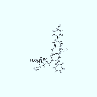 C[C@@H](CC(=N)Cc1cc(CN2C[C@@H](c3ccc(Cl)cc3)OC2C=O)ccc1-c1ccccc1)N(C)C